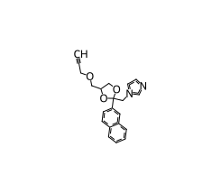 C#CCOCC1COC(Cn2ccnc2)(c2ccc3ccccc3c2)O1